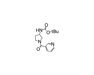 CC(C)(C)OC(=O)NC1CCN(C(=O)c2cccnc2)C1